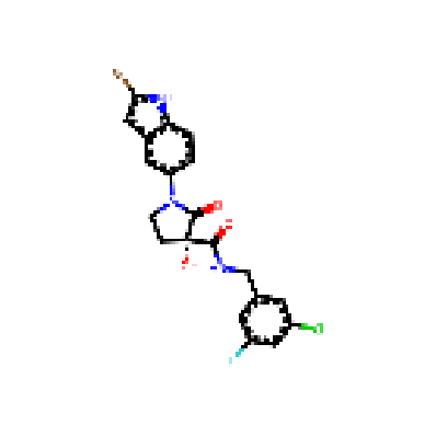 O=C(NCc1cc(F)cc(Cl)c1)[C@@]1(O)CCN(c2ccc3[nH]c(Br)cc3c2)C1=O